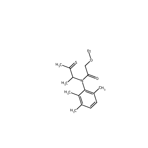 CCOCC(=O)N(c1c(C)ccc(C)c1C)C(C)C(C)=S